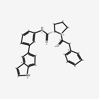 O=C(Nc1cccc(-c2ccc3[nH]ccc3c2)c1)[C@@H]1CCCN1C(=O)Cc1ccccc1